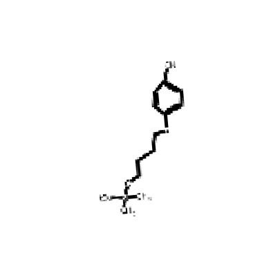 CC(C)(C)[Si](C)(C)OCCCCSc1ccc(C#N)cc1